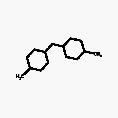 CC1CCC(CC2CCC(C)CC2)CC1